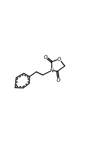 O=C1COC(=O)N1CCc1ccccc1